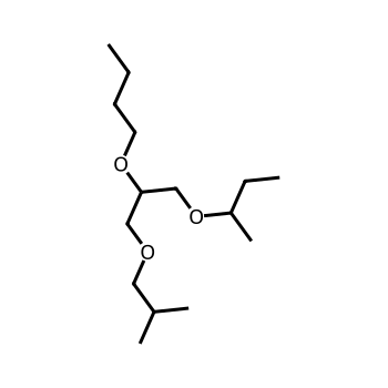 CCCCOC(COCC(C)C)COC(C)CC